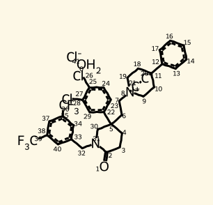 O.O=C1CCC(CC[N+]23CCC(c4ccccc4)(CC2)CC3)(c2ccc(Cl)c(Cl)c2)CN1Cc1cc(C(F)(F)F)cc(C(F)(F)F)c1.[Cl-]